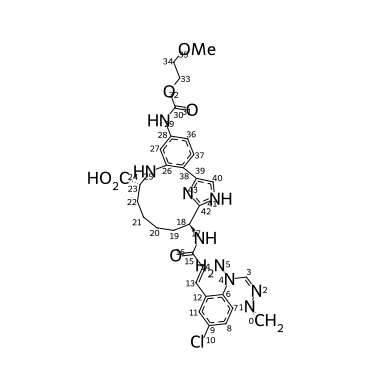 C=N/N=C\N(N)c1ccc(Cl)cc1/C=C/C(=O)N[C@H]1CCCC[C@H](C(=O)O)Nc2cc(NC(=O)OCCOC)ccc2-c2c[nH]c1n2